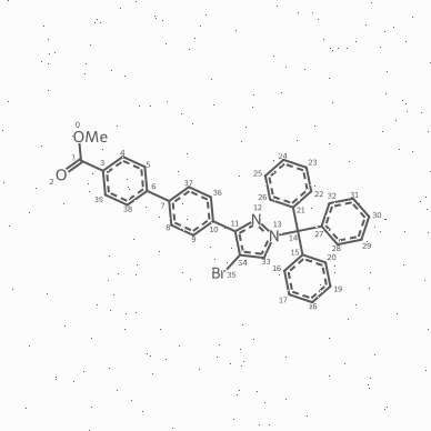 COC(=O)c1ccc(-c2ccc(-c3nn(C(c4ccccc4)(c4ccccc4)c4ccccc4)cc3Br)cc2)cc1